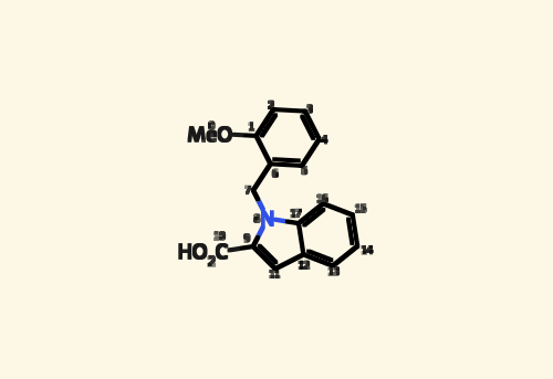 COc1ccccc1Cn1c(C(=O)O)cc2ccccc21